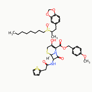 CCCCCCCC[S+]([O-])C(C)Cc1ccc2c(c1)OCO2.COc1ccc(COC(=O)C2=C(O)CS[C@@H]3C(NC(=O)Cc4cccs4)C(=O)N23)cc1